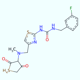 CN(Cc1csc(NC(=O)NCc2cccc(F)c2)n1)C1C(=O)C[SH4]C1=O